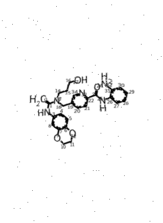 C=C(Nc1ccc2c(c1)OCCO2)N(CCCO)Cc1ccc(C(=O)Nc2ccccc2N)nc1